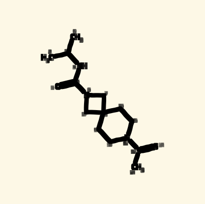 CC(C)NC(=O)N1CC2(CCN(S(C)=S)CC2)C1